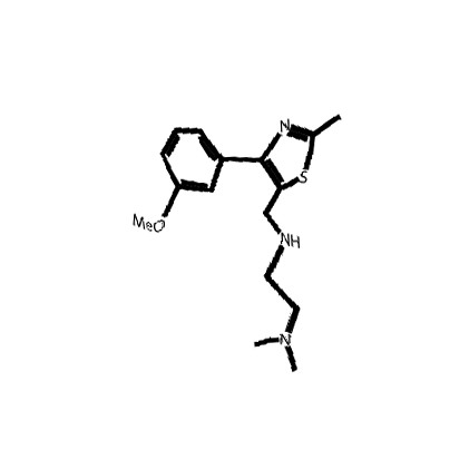 COc1cccc(-c2nc(C)sc2CNCCN(C)C)c1